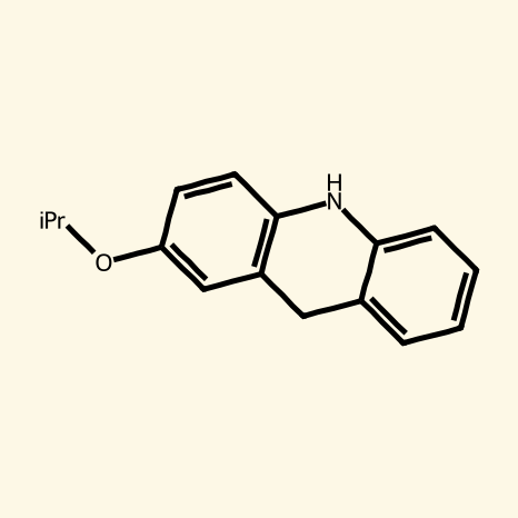 CC(C)Oc1ccc2c(c1)Cc1ccccc1N2